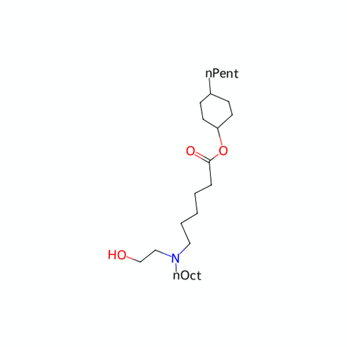 CCCCCCCCN(CCO)CCCCCC(=O)OC1CCC(CCCCC)CC1